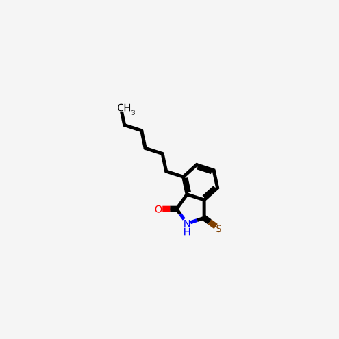 CCCCCCc1cccc2c1C(=O)NC2=S